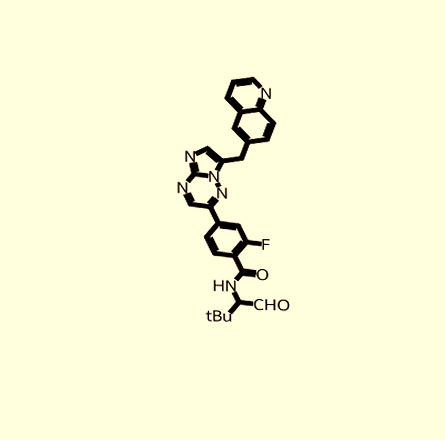 CC(C)(C)C(C=O)NC(=O)c1ccc(-c2cnc3ncc(Cc4ccc5ncccc5c4)n3n2)cc1F